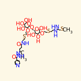 CSCC(=N)NCCSCCO[C@@H]1[C@@H](O)[C@H](O)[C@@H](CO[C@H]2O[C@H](O)[C@@H](O)[C@H](O)[C@H]2OCCSCCNC(=O)CC/C(C)=N/NC(=O)c2ccncc2)O[C@@H]1O